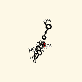 C[C@]12C=CC(=O)C=C1CC[C@@H]1[C@@H]2[C@@H](O)C[C@@]2(C)[C@H]1C[C@H]1O[C@@H](c3ccc(C#Cc4cccc(CO)c4)cc3)O[C@]12C(=O)CO